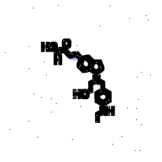 CCNc1ccc(CN(CCO)C2CCc3cc(/C=C/C(=O)NO)ccc32)cc1